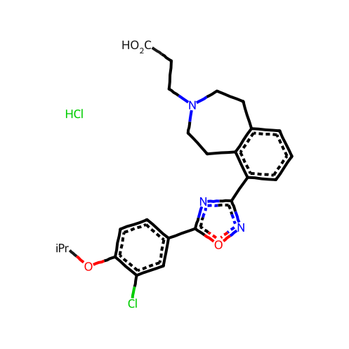 CC(C)Oc1ccc(-c2nc(-c3cccc4c3CCN(CCC(=O)O)CC4)no2)cc1Cl.Cl